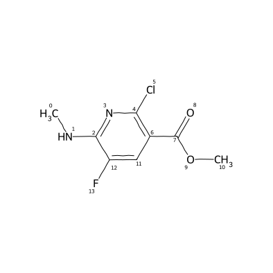 CNc1nc(Cl)c(C(=O)OC)cc1F